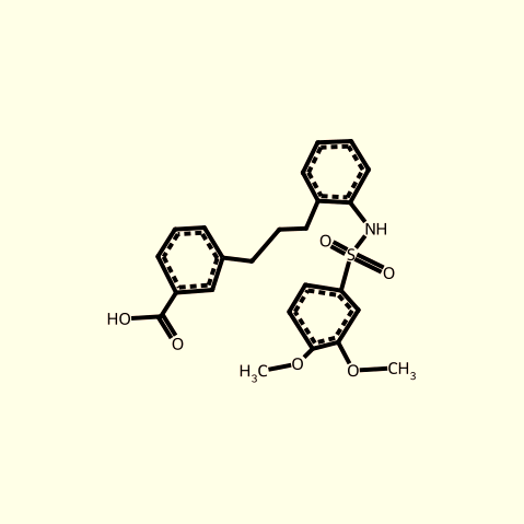 COc1ccc(S(=O)(=O)Nc2ccccc2CCCc2cccc(C(=O)O)c2)cc1OC